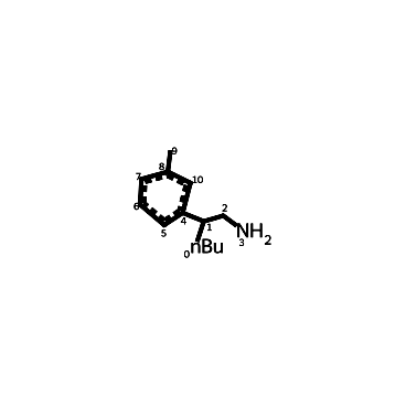 CCCCC(CN)c1cccc(C)c1